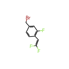 FC(F)=Cc1ccc(CBr)cc1F